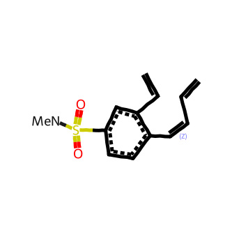 C=C/C=C\c1ccc(S(=O)(=O)NC)cc1C=C